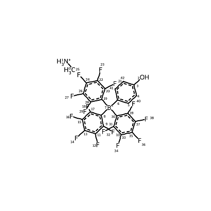 C[NH3+].Oc1ccc([B-](c2c(F)c(F)c(F)c(F)c2F)(c2c(F)c(F)c(F)c(F)c2F)c2c(F)c(F)c(F)c(F)c2F)cc1